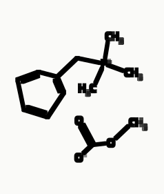 COC(=O)[O-].C[P+](C)(C)Cc1ccccc1